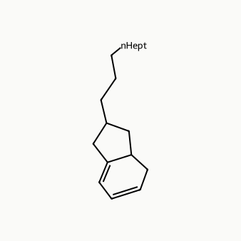 CCCCCCCCCCC1CC2=CC=CCC2C1